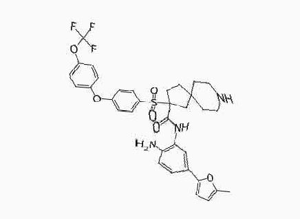 Cc1ccc(-c2ccc(N)c(NC(=O)C3(S(=O)(=O)c4ccc(Oc5ccc(OC(F)(F)F)cc5)cc4)CCC4(CCNCC4)C3)c2)o1